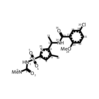 CNC(=O)NS(=O)(=O)c1cc(C)c(C(C)NC(=O)c2cc(Cl)ccc2OC)s1